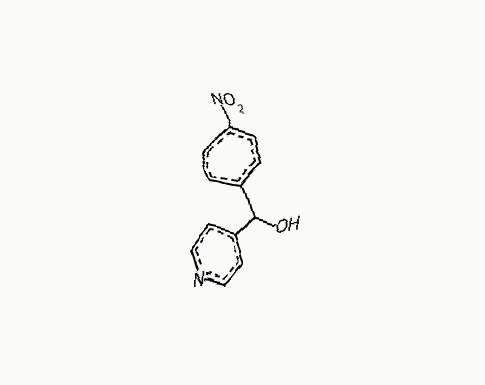 O=[N+]([O-])c1ccc(C(O)c2ccncc2)cc1